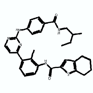 CCC(C)CNC(=O)c1ccc(Nc2nccc(-c3cccc(NC(=O)c4cc5c(s4)CCCC5)c3C)n2)cc1